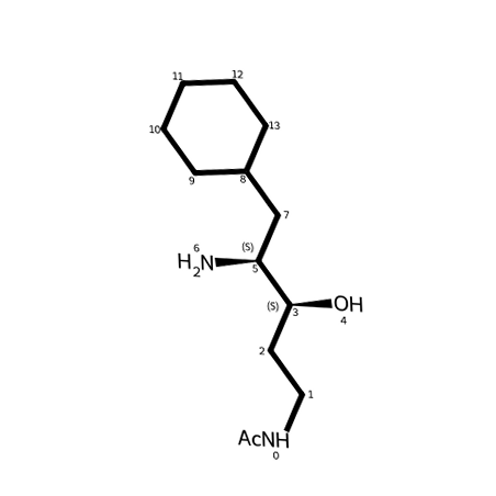 CC(=O)NCC[C@H](O)[C@@H](N)CC1CCCCC1